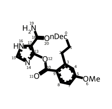 CCCCCCCCCCCCc1cc(OC)ccc1C(=O)Oc1nc[nH]c1C(N)=O